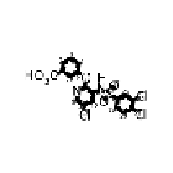 O=C(O)c1cccc(Oc2ncc(Cl)cc2NS(=O)(=O)c2ccc(Cl)c(Cl)c2)c1